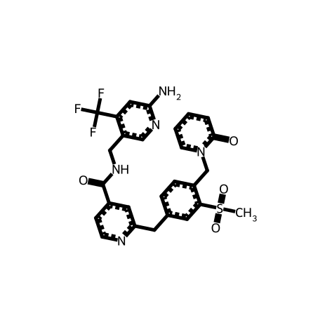 CS(=O)(=O)c1cc(Cc2cc(C(=O)NCc3cnc(N)cc3C(F)(F)F)ccn2)ccc1Cn1ccccc1=O